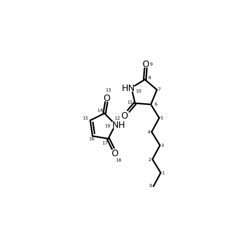 CCCCCCC1CC(=O)NC1=O.O=C1C=CC(=O)N1